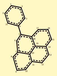 [c]1cccc(-c2cc3cccc4ccc5cccc2c5c43)c1